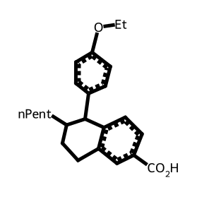 CCCCCC1CCc2cc(C(=O)O)ccc2C1c1ccc(OCC)cc1